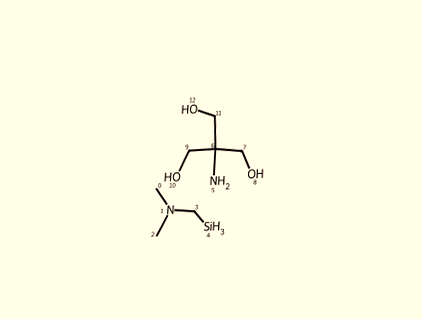 CN(C)C[SiH3].NC(CO)(CO)CO